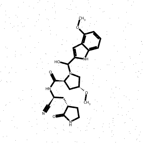 COc1cccc2[nH]c(C(O)N3C[C@H](OC)C[C@H]3C(=O)N[C@H](C#N)C[C@@H]3CCNC3=O)cc12